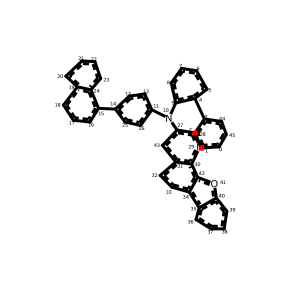 c1ccc(-c2ccccc2N(c2ccc(-c3cccc4ccccc34)cc2)c2cnc3c(ccc4c5ccccc5oc43)c2)cc1